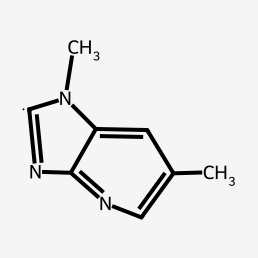 Cc1cnc2n[c]n(C)c2c1